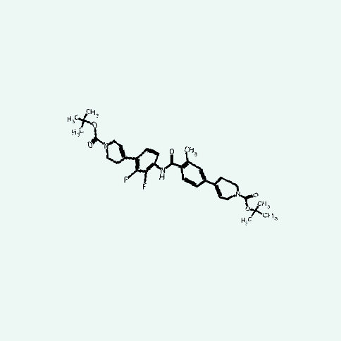 Cc1cc(C2=CCN(C(=O)OC(C)(C)C)CC2)ccc1C(=O)Nc1ccc(C2=CCN(C(=O)OC(C)(C)C)CC2)c(F)c1F